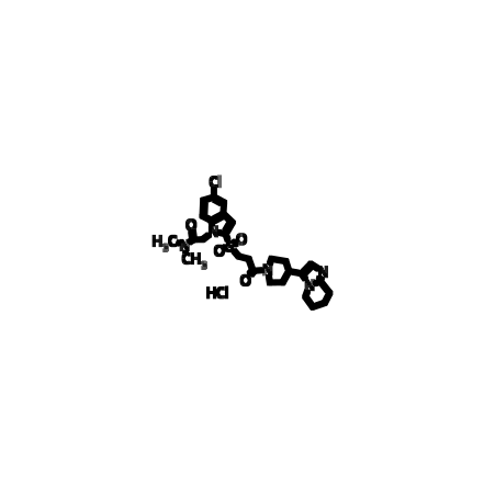 CN(C)C(=O)Cn1c(S(=O)(=O)CCC(=O)N2CCC(c3cnc4n3CCCC4)CC2)cc2cc(Cl)ccc21.Cl